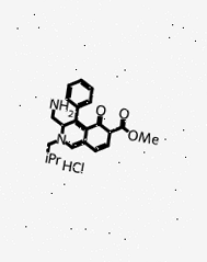 COC(=O)C1C=CC2=CN(CC(C)C)C(CN)C(c3ccccc3)=C2C1=O.Cl